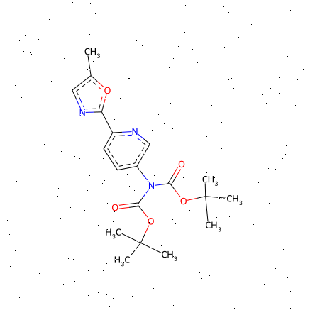 Cc1cnc(-c2ccc(N(C(=O)OC(C)(C)C)C(=O)OC(C)(C)C)cn2)o1